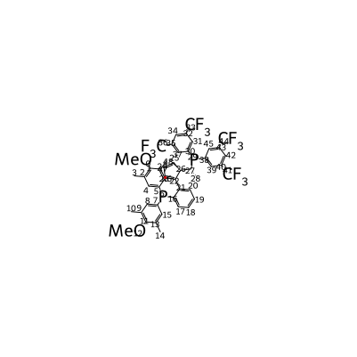 COc1c(C)cc(P(c2cc(C)c(OC)c(C)c2)c2ccccc2C2=CC=C[C@H]2[C@@H](C)P(c2cc(C(F)(F)F)cc(C(F)(F)F)c2)c2cc(C(F)(F)F)cc(C(F)(F)F)c2)cc1C